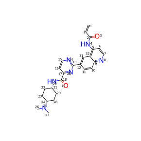 C=CC(=O)Nc1ccnc2ccc(-c3nccc(C(=O)N[C@H]4CC[C@@H](N(C)C)CC4)n3)cc12